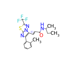 CCC(C)NC(=O)/C=C/c1c(-c2ccccc2C)nc2sc(C(F)(F)F)nn12